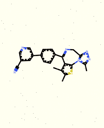 Cc1sc2c(c1C)C(c1ccc(-c3cncc(C#N)c3)cc1)=NCc1nnc(C)n1-2